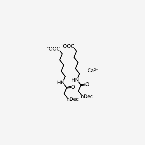 CCCCCCCCCCCC(=O)NCCCCCC(=O)[O-].CCCCCCCCCCCC(=O)NCCCCCC(=O)[O-].[Ca+2]